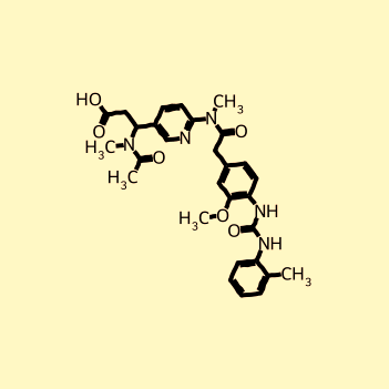 COc1cc(CC(=O)N(C)c2ccc(C(CC(=O)O)N(C)C(C)=O)cn2)ccc1NC(=O)Nc1ccccc1C